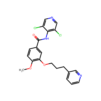 COc1ccc(C(=O)Nc2c(Cl)cncc2Cl)cc1OCCCc1cccnc1